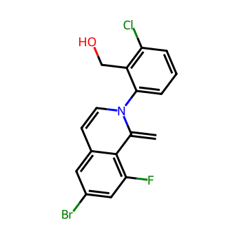 C=C1c2c(F)cc(Br)cc2C=CN1c1cccc(Cl)c1CO